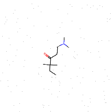 CCC(C)(C)C(=O)CCN(C)C